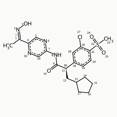 C/C(=N/O)c1cnc(NC(=O)[C@H](CC2CCCC2)c2ccc(S(C)(=O)=O)c(Cl)c2)cn1